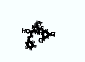 CC(C)c1nc(C(O)CCc2ccccc2)[nH]c1Sc1cc(Cl)cc(Cl)c1